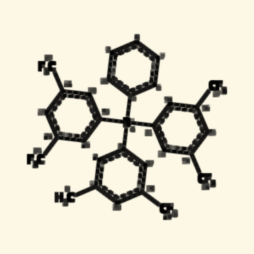 Cc1cc([B-](c2ccccc2)(c2cc(C(F)(F)F)cc(C(F)(F)F)c2)c2cc(C(F)(F)F)cc(C(F)(F)F)c2)cc(C(F)(F)F)c1